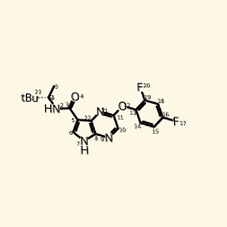 C[C@H](NC(=O)c1c[nH]c2ncc(Oc3ccc(F)cc3F)nc12)C(C)(C)C